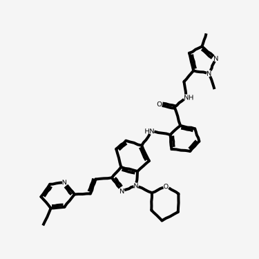 Cc1ccnc(/C=C/c2nn(C3CCCCO3)c3cc(Nc4ccccc4C(=O)NCc4cc(C)nn4C)ccc23)c1